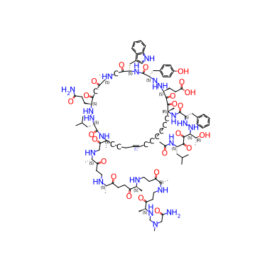 CC(=O)N[C@@H](CC(C)C)C(=O)C(=O)[C@@H](NN[C@@H](Cc1ccccc1)C(=O)N[C@]1(C)CCCCCC/C=C/CCC[C@@](C)(C(=O)CN[C@@H](C)C(=O)CCN[C@@H](C)C(=O)CCC(=O)[C@H](C)NCCC(=O)[C@H](C)NCCC(=O)[C@H](C)NCN(C)CC(N)=O)NC(=O)[C@H](CC(C)C)NN[C@@H](CCC(N)=O)C(=O)CC(=O)[C@H](C)NCC(=O)[C@H](Cc2c[nH]c3ccccc23)NC(=O)[C@H](Cc2ccc(O)cc2)NN[C@@H](CCC(=O)O)C(=O)C1=O)[C@@H](C)O